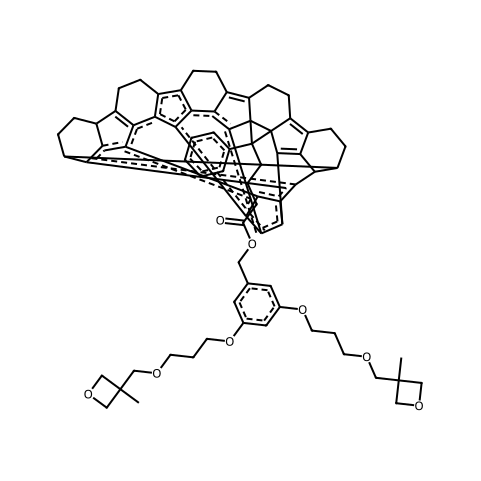 CC1(COCCCOc2cc(COC(=O)CCCC3(c4ccccc4)C45C6=C7CCC8C9CCC%10C%11=c%12c%13c(c%14c%15c%16c(c%17c%18c%19c(c9c%10c%12c%19c%17c%15%13)C8C7=C%184)C53C(=C%16CC%14)CC6)CC%11)cc(OCCCOCC3(C)COC3)c2)COC1